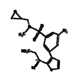 CC[C@@H](CC(=O)O)c1sccc1-c1cc(C(F)(F)F)cc(S(=O)(=O)N(C)CC2CO2)c1